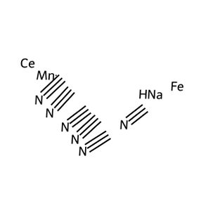 C#N.C#N.C#N.C#N.C#N.C#N.[Ce].[Fe].[Mn].[NaH]